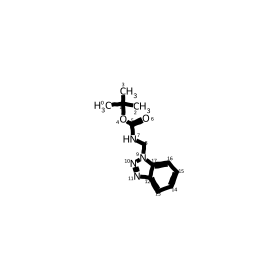 CC(C)(C)OC(=O)NCn1nnc2ccccc21